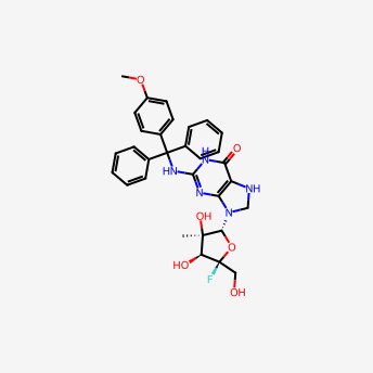 COc1ccc(C(Nc2nc3c(c(=O)[nH]2)NCN3[C@@H]2O[C@](F)(CO)[C@@H](O)[C@@]2(C)O)(c2ccccc2)c2ccccc2)cc1